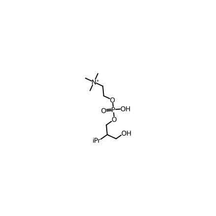 CC(C)C(CO)COP(=O)(O)OCC[N+](C)(C)C